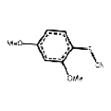 COc1ccc(SC#N)c(OC)c1